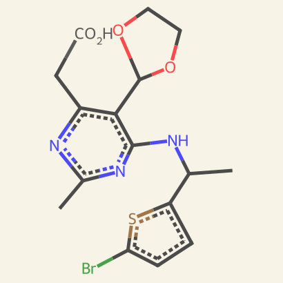 Cc1nc(CC(=O)O)c(C2OCCO2)c(NC(C)c2ccc(Br)s2)n1